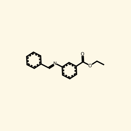 CCOC(=O)c1cccc(/N=C/c2ccccc2)c1